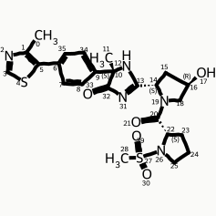 Cc1ncsc1-c1ccc([C@]2(C)NC([C@@H]3C[C@@H](O)CN3C(=O)[C@@H]3CCCN3S(C)(=O)=O)=NC2=O)cc1